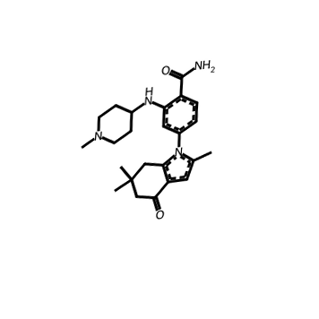 Cc1cc2c(n1-c1ccc(C(N)=O)c(NC3CCN(C)CC3)c1)CC(C)(C)CC2=O